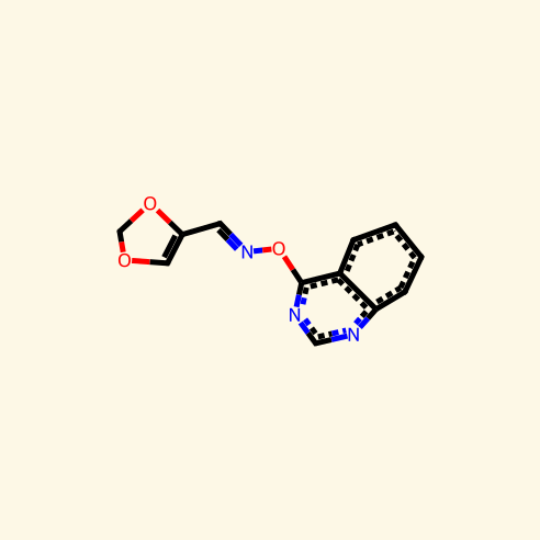 C(=NOc1ncnc2ccccc12)C1=COCO1